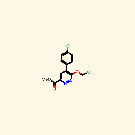 COC(=O)c1cc(-c2ccc(Cl)cc2)c(OCC(F)(F)F)nn1